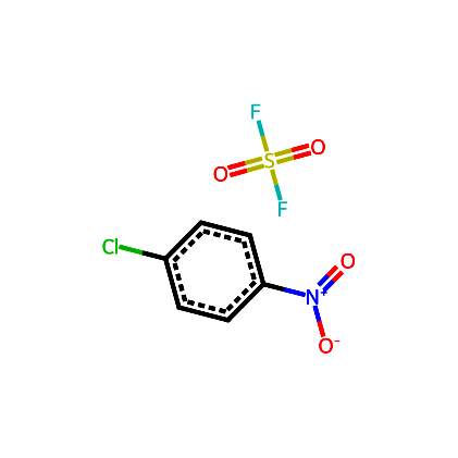 O=S(=O)(F)F.O=[N+]([O-])c1ccc(Cl)cc1